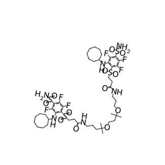 CC(C)(CCCNC(=O)CCS(=O)(=O)c1c(F)c(F)c(S(N)(=O)=O)c(F)c1NC1CCCCCCC1)OCCC(C)(C)OCCCNC(=O)CCS(=O)(=O)c1c(F)c(F)c(S(N)(=O)=O)c(F)c1NC1CCCCCCC1